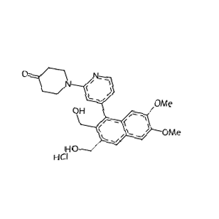 COc1cc2cc(CO)c(CO)c(-c3ccnc(N4CCC(=O)CC4)c3)c2cc1OC.Cl